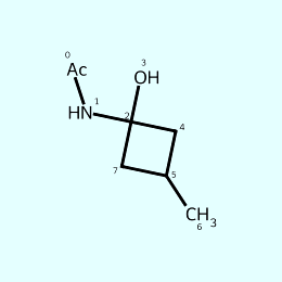 CC(=O)NC1(O)CC(C)C1